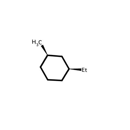 CC[C@H]1CCC[C@@H](C)C1